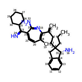 C=C(CCC1(CCC)Cc2ccccc2[C@H]1N)C1=C(C)C=C=C(C(=N)C2CCCCC2)C(N)=N1